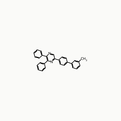 Cc1cccc(-c2ccc(-c3cnc(-c4ccccc4)c(-c4ccccc4)n3)cc2)c1